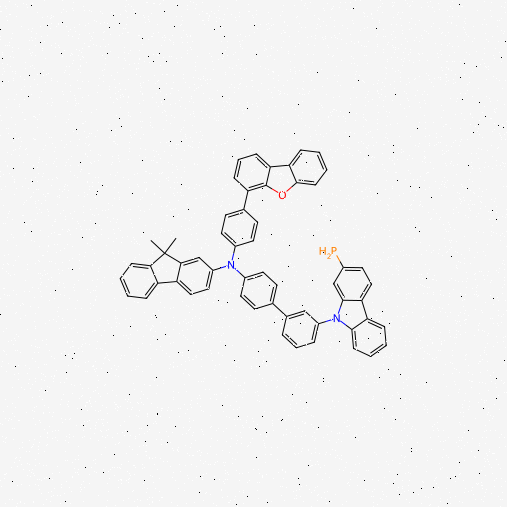 CC1(C)c2ccccc2-c2ccc(N(c3ccc(-c4cccc(-n5c6ccccc6c6ccc(P)cc65)c4)cc3)c3ccc(-c4cccc5c4oc4ccccc45)cc3)cc21